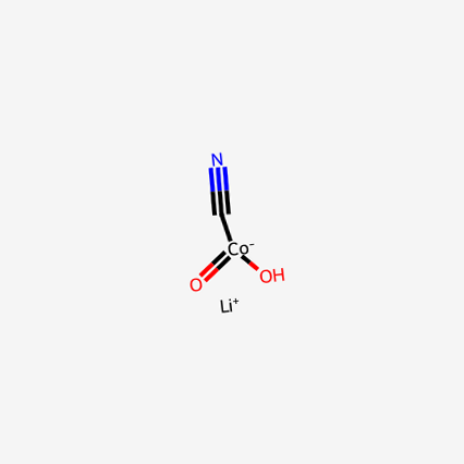 N#[C][Co-](=[O])[OH].[Li+]